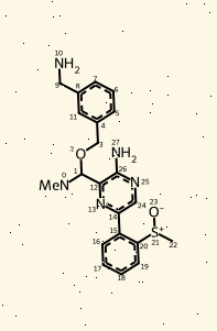 CNC(OCc1cccc(CN)c1)c1nc(-c2ccccc2[S+](C)[O-])cnc1N